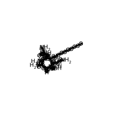 COCCOCCOCCOCCOCCOCCOCCOCCNC(=O)CCCC1CSC[C@H](NC(=O)CNC(=O)CNC(=O)CN)C(=O)N[C@@H](Cc2ccc(O)cc2)C(=O)N[C@@H](Cc2ccccc2)C(=O)N[C@@H](CCC(N)=O)C(=O)N[C@@H](CC(N)=O)C(=O)N[C@H](C(=O)N2CCCC2C(=O)N[C@@H](CCCCN)C(=O)NCC(N)=O)CS1